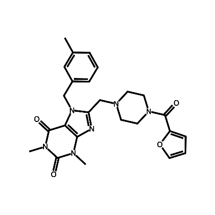 Cc1cccc(Cn2c(CN3CCN(C(=O)c4ccco4)CC3)nc3c2c(=O)n(C)c(=O)n3C)c1